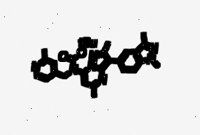 Cc1cc(CN(C(=O)OC(C)(C)C)c2cc(C)nc3c(-c4ccc5c(c4)c(C)nn5C)c(C)nn23)ccn1